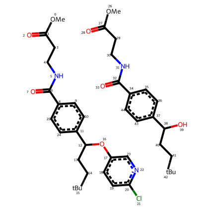 COC(=O)CCNC(=O)c1ccc(C(CCC(C)(C)C)Oc2ccc(Cl)nc2)cc1.COC(=O)CCNC(=O)c1ccc(C(O)CCC(C)(C)C)cc1